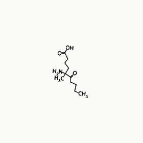 CCCCC(=O)C(C)(N)CCCC(=O)O